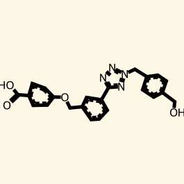 O=C(O)c1ccc(OCc2cccc(-c3nnn(Cc4ccc(CO)cc4)n3)c2)cc1